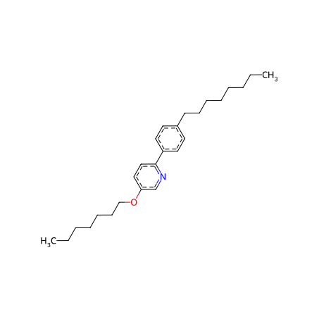 CCCCCCCCc1ccc(-c2ccc(OCCCCCCC)cn2)cc1